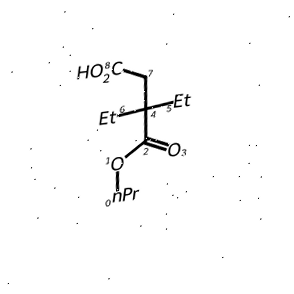 CCCOC(=O)C(CC)(CC)CC(=O)O